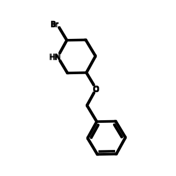 BrC1CCC(OCc2ccccc2)CN1